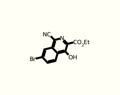 CCOC(=O)c1nc(C#N)c2cc(Br)ccc2c1O